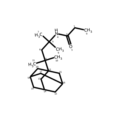 CCC(=O)NC(C)(C)CC(C)(C)C12CC3CC(CC(C3)C1)C2